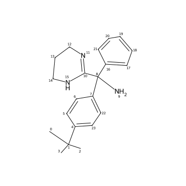 CC(C)(C)c1ccc(C(N)(C2=NCCCN2)c2ccccc2)cc1